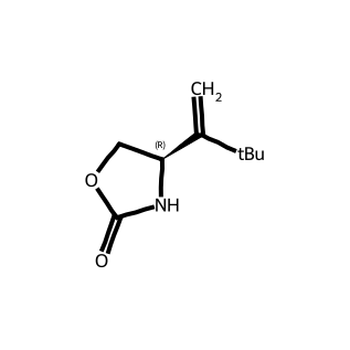 C=C([C@@H]1COC(=O)N1)C(C)(C)C